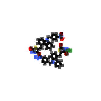 Cl.Nc1ccc(Cn2c3ccccc3c3c(CC4SC(=O)NC4=O)cccc32)cc1.O=C1NC(=O)C(Cc2cccc3c2c2ccccc2n3Cc2ccc([N+](=O)[O-])cc2)S1